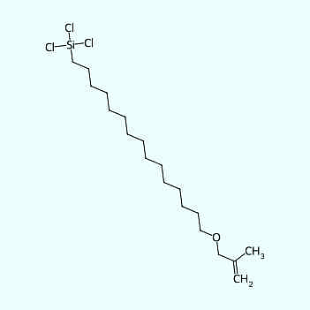 C=C(C)COCCCCCCCCCCCCCCC[Si](Cl)(Cl)Cl